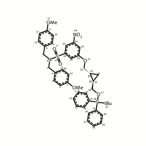 COc1ccc(CN(Cc2ccc(OC)cc2)S(=O)(=O)c2cc(OC[C@@H]3C[C@H]3CO[Si](c3ccccc3)(c3ccccc3)C(C)(C)C)cc([N+](=O)[O-])c2)cc1